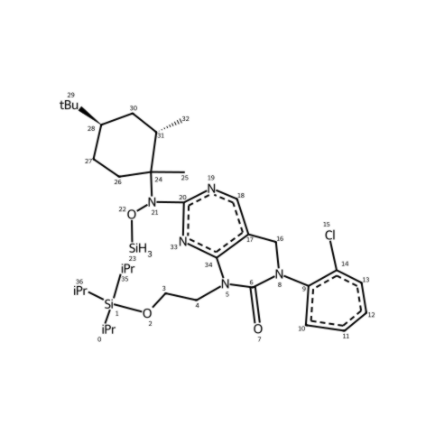 CC(C)[Si](OCCN1C(=O)N(c2ccccc2Cl)Cc2cnc(N(O[SiH3])C3(C)CC[C@@H](C(C)(C)C)C[C@@H]3C)nc21)(C(C)C)C(C)C